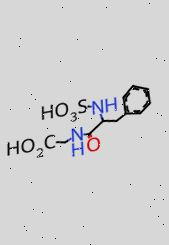 O=C(O)CNC(=O)C(Cc1ccccc1)NS(=O)(=O)O